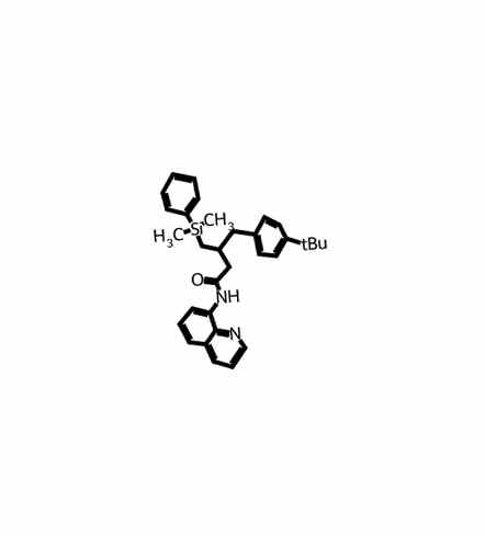 CC(C)(C)c1ccc(CC(CC(=O)Nc2cccc3cccnc23)C[Si](C)(C)c2ccccc2)cc1